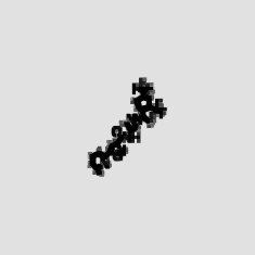 Cc1cccc(-c2cc(C(=O)Nc3cnn(C(C)c4ccc(C(F)(F)F)cc4C(F)(F)F)c3)no2)n1